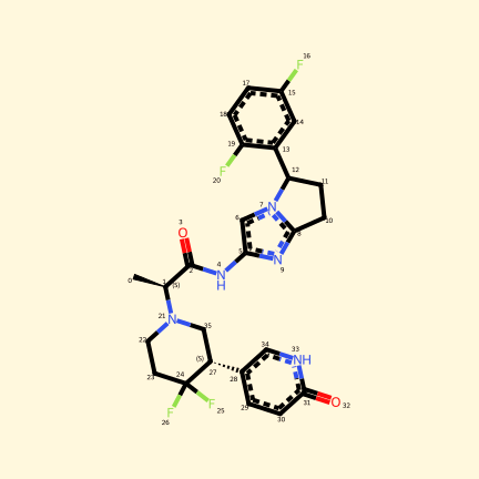 C[C@@H](C(=O)Nc1cn2c(n1)CCC2c1cc(F)ccc1F)N1CCC(F)(F)[C@@H](c2ccc(=O)[nH]c2)C1